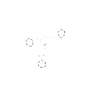 COc1cccc(CNC[C@H](O)[C@H](Cc2ccccc2)NC(=O)[C@H](C)CS(=O)(=O)c2ccccc2)c1